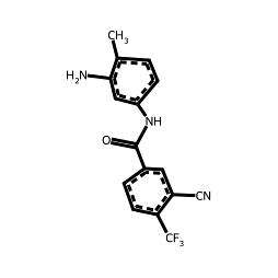 Cc1ccc(NC(=O)c2ccc(C(F)(F)F)c(C#N)c2)cc1N